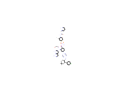 CC1(C)CCC(CN2CCN(c3ccc(C(=O)NS(=O)(=O)c4cc5c(c([N+](=O)[O-])c4)N[C@@H](Cc4ccccn4)CO5)c(N4CCCOc5nc6[nH]ccc6cc54)c3)CC2)=C(c2ccc(Cl)cc2)C1